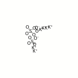 O=S(=O)([O-])[O-].O=S(=O)([O-])[O-].[K+].[K+].[K+].[K+].[K+].[K+].[O-][O-]